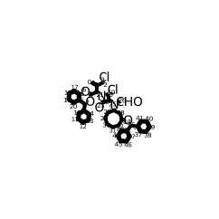 C=C(CCl)C(C(=O)OC(c1ccccc1)c1ccccc1)N1C(=O)C(N(C=O)C2CCCCCC(OC(c3ccccc3)c3ccccc3)C2)C1Cl